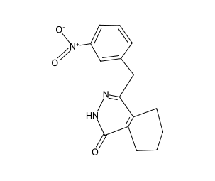 O=c1[nH]nc(Cc2cccc([N+](=O)[O-])c2)c2c1CCCC2